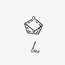 COC.c1cc2oc1C2